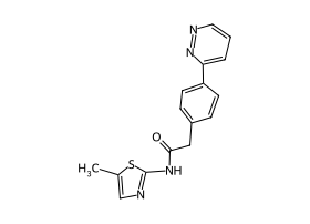 Cc1cnc(NC(=O)Cc2ccc(-c3cccnn3)cc2)s1